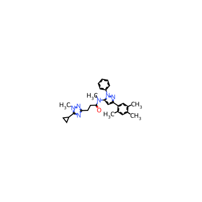 Cc1cc(C)c(-c2cc(N(C)C(=O)CCc3nc(C4CC4)n(C)n3)n(-c3ccccc3)n2)cc1C